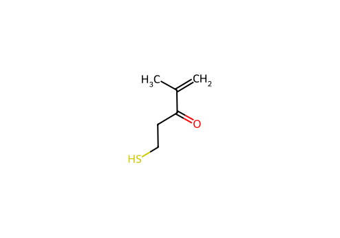 C=C(C)C(=O)CCS